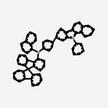 c1ccc(-n2c3cc(-c4ccc(N(c5cccc6c5-c5ccccc5C65c6ccccc6-c6ccccc65)c5cccc6ccccc56)cc4)ccc3c3ccc4ccccc4c32)cc1